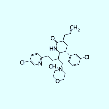 C=CC[C@H]1C[C@H](c2cccc(Cl)c2)[C@@H](C(CN2CCOCC2)[C@H](C)Cc2ccc(Cl)cn2)NC1=O